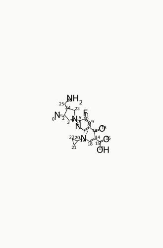 C/N=C1\CN(c2nc3c(cc2F)c(=O)c(C(=O)O)cn3C2CC2)CC1CN